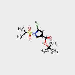 CC(C)S(=O)(=O)n1cc(C(=O)OC(C)(C)C)cc1Cl